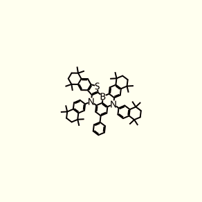 CC1(C)CCC(C)(C)c2cc(N3c4cc5c(cc4B4c6sc7cc8c(cc7c6N(c6ccc7c(c6)C(C)(C)CCC7(C)C)c6cc(-c7ccccc7)cc3c64)C(C)(C)CCC8(C)C)C(C)(C)CCC5(C)C)ccc21